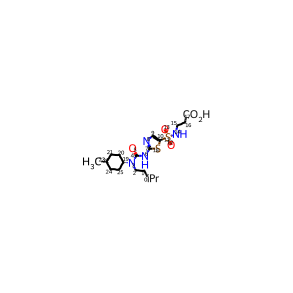 CC(C)CCN(C(=O)Nc1ncc(S(=O)(=O)NCCC(=O)O)s1)[C@H]1CC[C@H](C)CC1